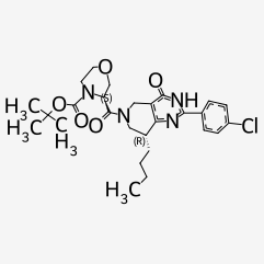 CCCC[C@@H]1CN(C(=O)[C@@H]2COCCN2C(=O)OC(C)(C)C)Cc2c1nc(-c1ccc(Cl)cc1)[nH]c2=O